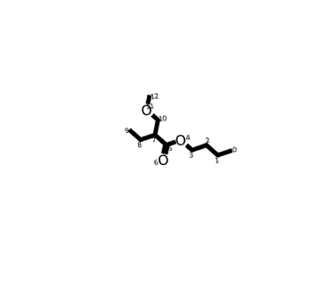 CCCCOC(=O)C(CC)COC